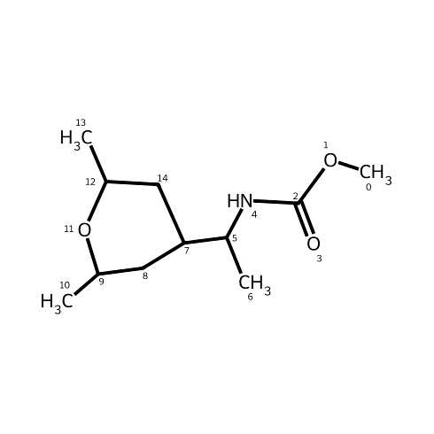 COC(=O)NC(C)C1CC(C)OC(C)C1